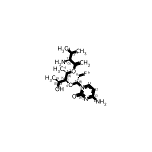 C=C(O[C@@H](C)[C@@H](O[C@H](CF)n1ccc(N)nc1=O)[C@H](C)O)[C@@H](N)C(C)C